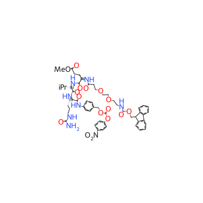 COC(=O)CC[C@@H](NC(=O)CCOCCOCCNC(=O)OCC1c2ccccc2-c2ccccc21)C(=O)N[C@H](C(=O)N[C@@H](CCCNC(N)=O)C(=O)Nc1ccc(COC(=O)Oc2ccc([N+](=O)[O-])cc2)cc1)C(C)C